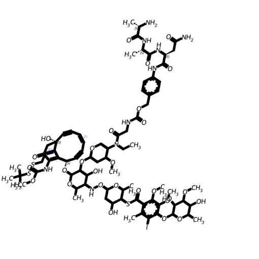 CCN(C(=O)CNC(=O)OCc1ccc(NC(=O)[C@H](CC(N)=O)NC(=O)[C@H](C)NC(=O)[C@H](C)N)cc1)C1COC(OC2C(O[C@H]3C#C/C=C\C#C[C@]4(O)CC(=O)C(NC(=O)OC)=C3/C4=C\CSSC(C)(C)C)OC(C)C(NOC3CC(O)C(SC(=O)c4c(C)c(I)c(OC5OC(C)C(O)C(OC)C5O)c(OC)c4OC)C(C)O3)C2O)CC1OC